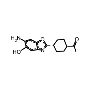 CC(=O)[C@H]1CC[C@H](c2nc3cc(O)c(N)cc3o2)CC1